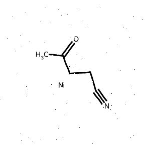 CC(=O)CCC#N.[Ni]